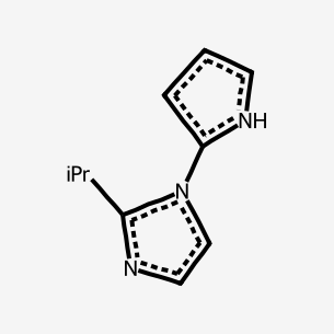 CC(C)c1nccn1-c1ccc[nH]1